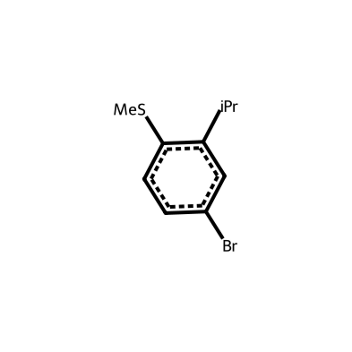 [CH2]C(C)c1cc(Br)ccc1SC